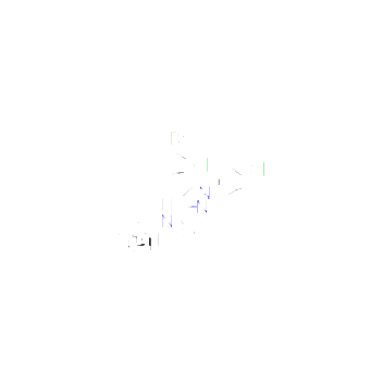 CC1(C)C2CCC(CNC(=O)c3nn(-c4ccc(Cl)cc4Cl)c4c3Cc3sc(Br)cc3-4)C1C2